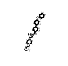 OCCN1CCN(CCNC=C2CCC(c3ccc(Sc4ccccc4)cc3)CC2)CC1